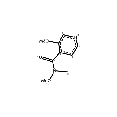 COc1cnccc1C(=O)N(C)OC